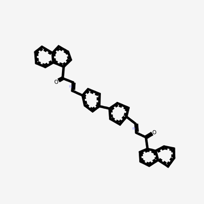 O=C(/C=C/c1ccc(-c2ccc(/C=C/C(=O)c3cccc4ccccc34)cc2)cc1)c1cccc2ccccc12